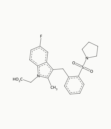 Cc1c(Cc2ccccc2S(=O)(=O)N2CCCC2)c2cc(F)ccc2n1CC(=O)O